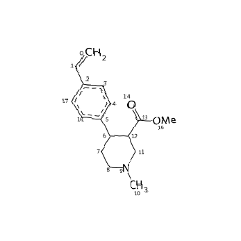 C=Cc1ccc(C2CCN(C)CC2C(=O)OC)cc1